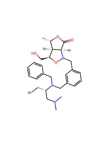 CC(C)C[C@@H](CN(C)C)N(Cc1ccccc1)Cc1cccc(CN2O[C@@H](CO)[C@H]3[C@H](C)OC(=O)[C@H]32)c1